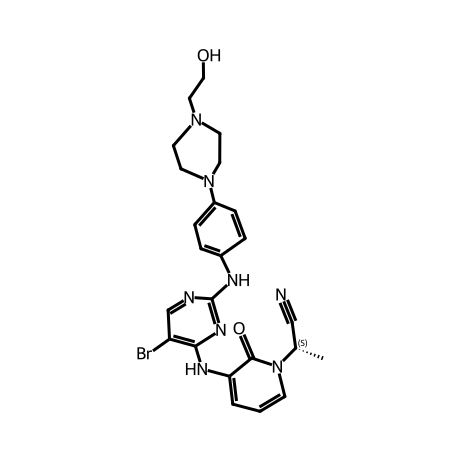 C[C@@H](C#N)n1cccc(Nc2nc(Nc3ccc(N4CCN(CCO)CC4)cc3)ncc2Br)c1=O